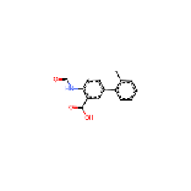 Cc1ccccc1-c1ccc(NC=O)c(C(=O)O)c1